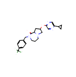 O=C1C2CC(Oc3cnc(C4CC4)cn3)CN2CCCN1Cc1ccc(C(F)(F)F)cc1